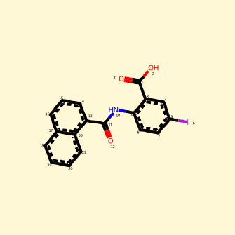 O=C(O)c1cc(I)ccc1NC(=O)c1cccc2ccccc12